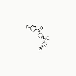 O=C(C1CC[S+]([O-])C1)N1CCC([S+]([O-])c2ccc(F)cc2)C1